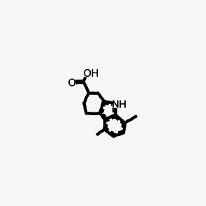 Cc1ccc(C)c2c3c([nH]c12)CC(C(=O)O)CC3